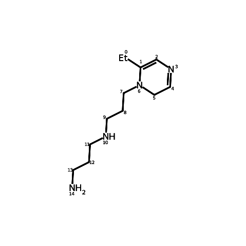 CCC1=CN=CCN1CCCNCCCN